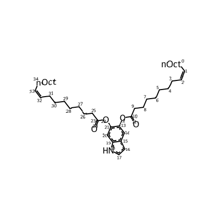 CCCCCCCC/C=C\CCCCCCCC(=O)Oc1cc2cc[nH]c2cc1OC(=O)CCCCCCC/C=C\CCCCCCCC